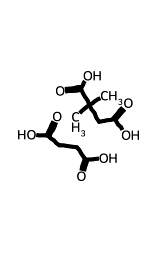 CC(C)(CC(=O)O)C(=O)O.O=C(O)CCC(=O)O